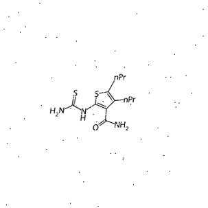 CCCc1sc(NC(N)=S)c(C(N)=O)c1CCC